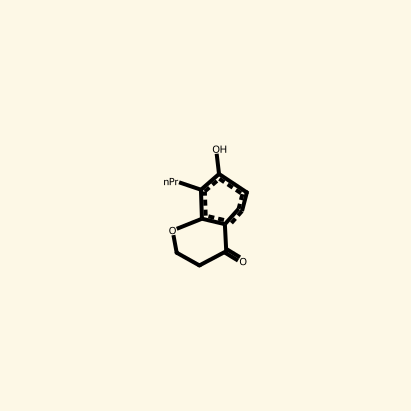 CCCc1c(O)ccc2c1OCCC2=O